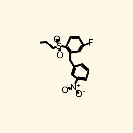 CCCS(=O)(=O)c1ccc(F)cc1Cc1cccc([N+](=O)[O-])c1